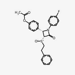 CC(=O)Oc1ccc([C@H]2[C@@H]([S+]([O-])CCc3ccccc3)C(=O)N2c2ccc(F)cc2)cc1